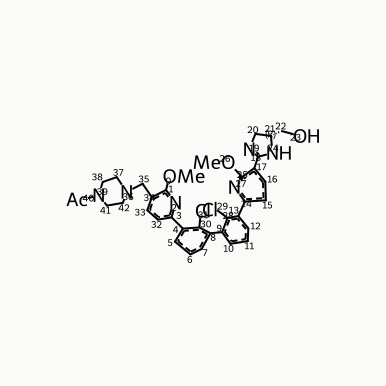 COc1nc(-c2cccc(-c3cccc(-c4ccc(C5=NC[C@H](CO)N5)c(OC)n4)c3Cl)c2Cl)ccc1CN1CCN(C(C)=O)CC1